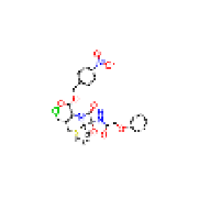 COC1(NC(=O)COc2ccccc2)C(=O)N2C(C(=O)OCc3ccc([N+](=O)[O-])cc3)=C(CCl)CS[C@H]21